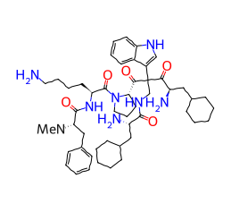 CN[C@@H](Cc1ccccc1)C(=O)N[C@@H](CCCCN)C(=O)N1CCC[C@H]1C(=O)C(CNC(=O)[C@@H](N)CC1CCCCC1)(C(=O)[C@H](N)CC1CCCCC1)c1c[nH]c2ccccc12